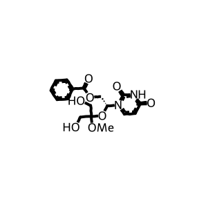 COC(CO)(CO)O[C@H](COC(=O)c1ccccc1)n1ccc(=O)[nH]c1=O